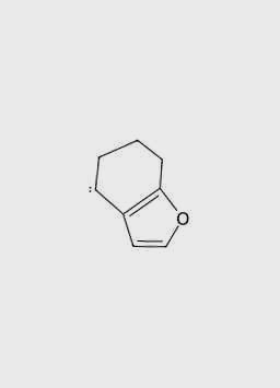 [C]1CCCc2occc21